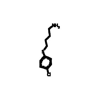 NCCCCSc1ccc(Cl)cc1